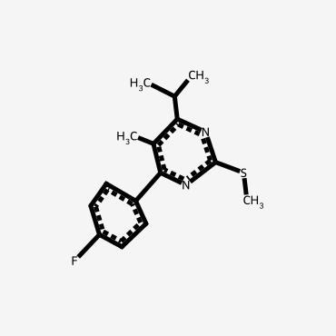 CSc1nc(-c2ccc(F)cc2)c(C)c(C(C)C)n1